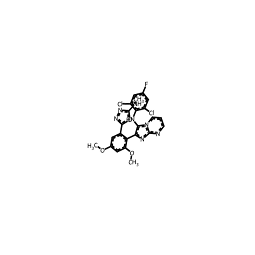 CNc1nnc(-c2cc(OC)cc(OC)c2-c2nc3ncccn3c2Nc2c(Cl)cc(F)cc2Cl)o1